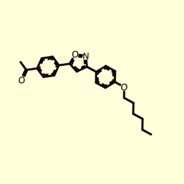 CCCCCCOc1ccc(-c2cc(-c3ccc(C(C)=O)cc3)on2)cc1